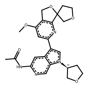 COc1cc(-c2cn([C@H]3CCOC3)c3cnc(NC(C)=O)cc23)nc2c1COC21CCOC1